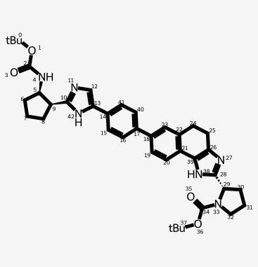 CC(C)(C)OC(=O)N[C@@H]1CCC[C@@H]1c1ncc(-c2ccc(-c3ccc4c(c3)CCc3nc([C@@H]5CCCN5C(=O)OC(C)(C)C)[nH]c3-4)cc2)[nH]1